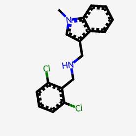 Cn1cc(CNCc2c(Cl)cccc2Cl)c2ccccc21